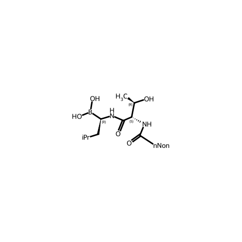 CCCCCCCCCC(=O)N[C@H](C(=O)N[C@@H](CC(C)C)B(O)O)[C@@H](C)O